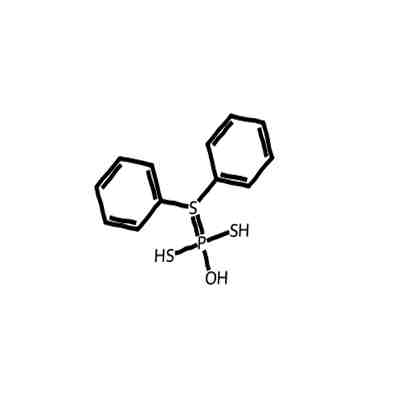 OP(S)(S)=S(c1ccccc1)c1ccccc1